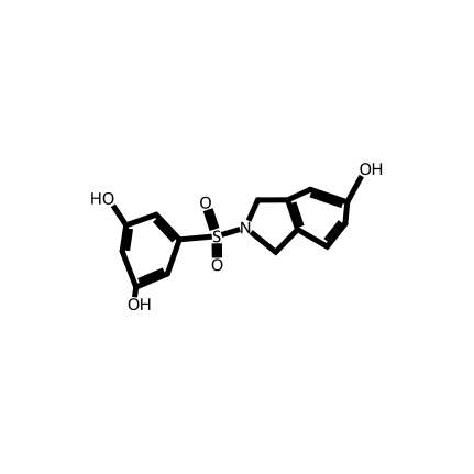 O=S(=O)(c1cc(O)cc(O)c1)N1Cc2ccc(O)cc2C1